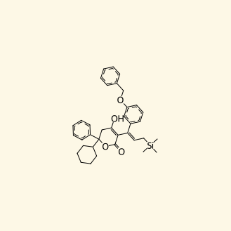 C[Si](C)(C)CC=C(C1=C(O)CC(c2ccccc2)(C2CCCCC2)OC1=O)c1cccc(OCc2ccccc2)c1